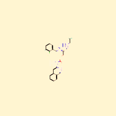 CN(Cc1cccc(F)c1Cl)[C@@H](CNCC(F)F)COC(=O)Nc1cc2ccccc2cn1